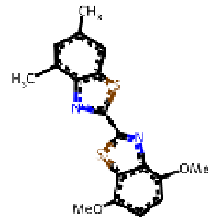 COc1ccc(OC)c2sc(-c3nc4c(C)cc(C)cc4s3)nc12